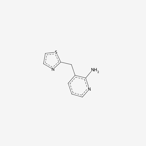 Nc1ncccc1Cc1nccs1